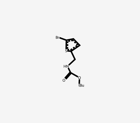 CC(C)(C)OC(=O)NCc1ccc(Br)s1